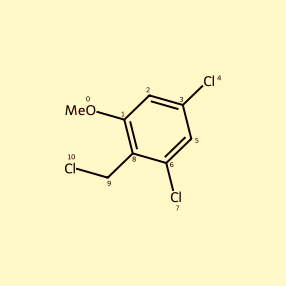 COc1cc(Cl)cc(Cl)c1CCl